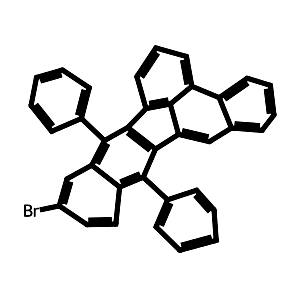 Brc1ccc2c(-c3ccccc3)c3c(c(-c4ccccc4)c2c1)-c1cccc2c1c-3cc1ccccc12